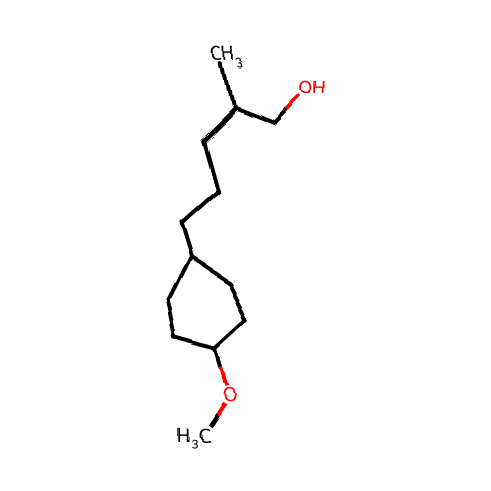 COC1CCC(CCCC(C)CO)CC1